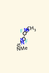 CNC12CCC(c3cn4cc(-c5cc(F)c6nn(C)cc6c5)cc(F)c4n3)(C1)C2